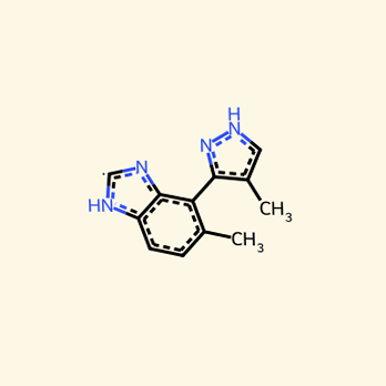 Cc1c[nH]nc1-c1c(C)ccc2[nH][c]nc12